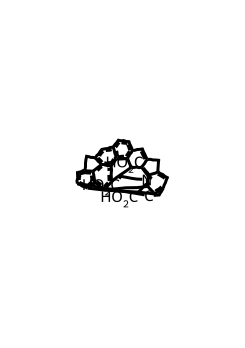 O=C(O)CN1C(C(=O)O)C23C4=C5C=C6CC7=Cc8ccc9cc%10c%11c%12c(cc(c4c%12c2c2c%11c9c8C2C7C63C1C(=O)O)CC5)C%10